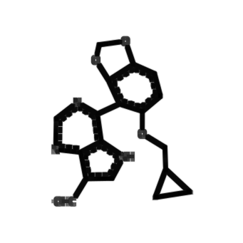 O=[C]c1c[nH]c2c(-c3c(OCC4CC4)ccc4c3OCO4)ncnc12